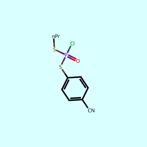 CCCSP(=O)(Cl)Sc1ccc(C#N)cc1